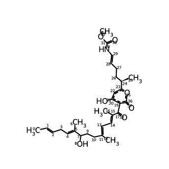 C/C=C/C/C=C(\C)C(O)CC/C(C)=C/C=C(\C)C(=O)c1c(O)cc([C@H](C)CC/C=C/NC(=O)OC)oc1=O